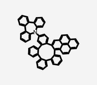 c1ccc2c(c1)-c1ccccc1N(c1ccc3c(c1)c1ccccc1c1ccccc1c1ccccc1c1c3cc3ccc4cccc5ccc1c3c45)c1ccccc1-2